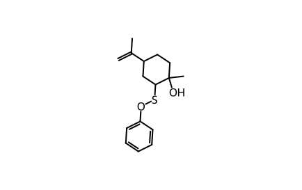 C=C(C)C1CCC(C)(O)C(SOc2ccccc2)C1